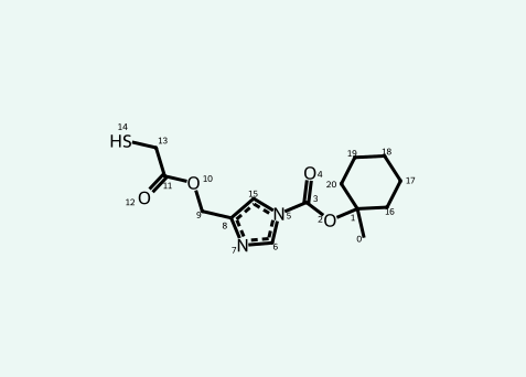 CC1(OC(=O)n2cnc(COC(=O)CS)c2)CCCCC1